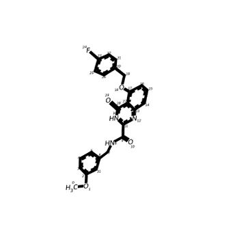 COc1cccc(CNC(=O)c2nc3cccc(OCc4ccc(F)cc4)c3c(=O)[nH]2)c1